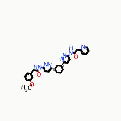 COc1cccc(CC(=O)Nc2ccc([C@H]3CCC[C@H](c4ccc(NC(=O)Cc5ccccn5)nn4)C3)nn2)c1